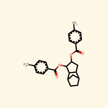 O=C(OC1CC2C3CCC(C3)C2C1OC(=O)c1ccc(C(F)(F)F)cc1)c1ccc(C(F)(F)F)cc1